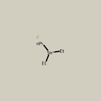 CC[CH2][Sn+]([CH2]C)[CH2]C.[F-]